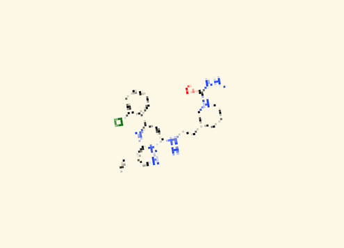 C=Cc1cnn2c(NCCC3CCCN(C(N)=O)C3)cc(-c3ccccc3Cl)nc12